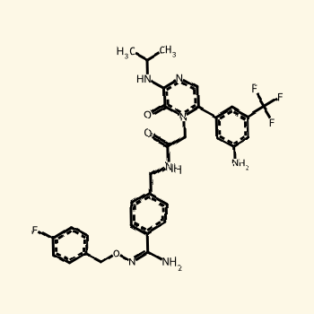 CC(C)Nc1ncc(-c2cc(N)cc(C(F)(F)F)c2)n(CC(=O)NCc2ccc(/C(N)=N\OCc3ccc(F)cc3)cc2)c1=O